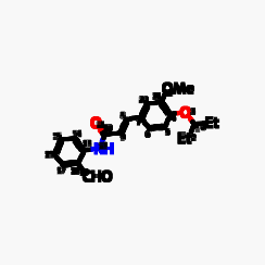 CCC(CC)Oc1ccc(/C=C/C(=O)Nc2ccccc2C=O)cc1OC